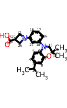 CC(C)c1ccc2c(c1)OC(C)(C)CN2c1cccc(N2CC(C(=O)O)C2)c1